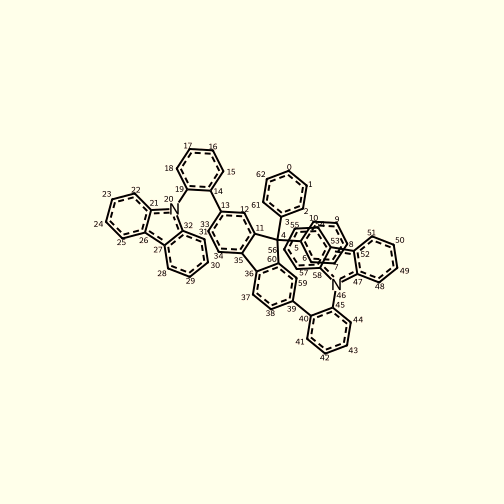 c1ccc(C2(c3ccccc3)c3cc(-c4ccccc4-n4c5ccccc5c5ccccc54)ccc3-c3ccc(-c4ccccc4-n4c5ccccc5c5ccccc54)cc32)cc1